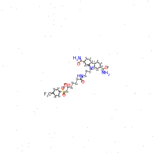 NC(=O)c1ccc2c3ccc(C(N)=O)cc3n(CCCNC(=O)CCCCC(O)CS(=O)(=O)c3ccc(C(F)(F)F)cc3)c2c1